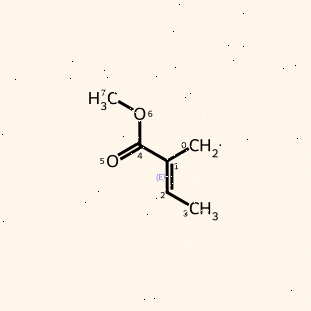 [CH2]/C(=C\C)C(=O)OC